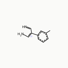 Cc1cccc(/C(C=N)=C/N)c1